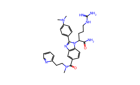 CN(CCc1ccccn1)C(=O)c1ccc2c(c1)nc(-c1ccc(N(C)C)cc1)n2C(CCCNC(=N)N)C(N)=O